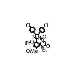 CCN1CCN(C(=O)N2C(c3ccc(OC)cc3OC(C)C)=NC(c3ccc(Cl)cc3)C2c2ccc(Cl)cc2)CC1=O